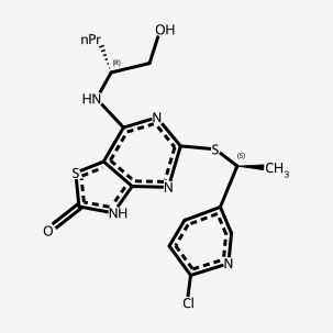 CCC[C@H](CO)Nc1nc(S[C@@H](C)c2ccc(Cl)nc2)nc2[nH]c(=O)sc12